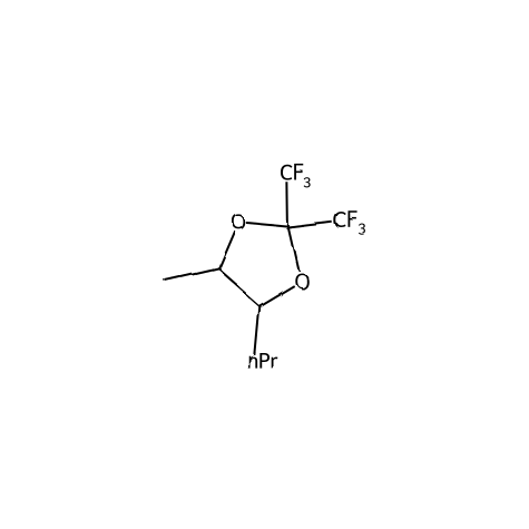 CCCC1OC(C(F)(F)F)(C(F)(F)F)OC1C